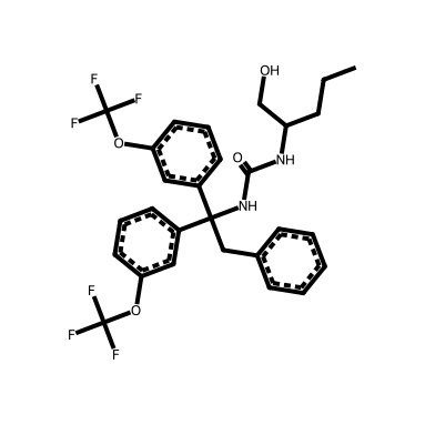 CCCC(CO)NC(=O)NC(Cc1ccccc1)(c1cccc(OC(F)(F)F)c1)c1cccc(OC(F)(F)F)c1